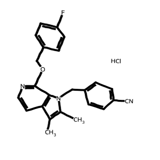 Cc1c(C)n(Cc2ccc(C#N)cc2)c2c(OCc3ccc(F)cc3)nccc12.Cl